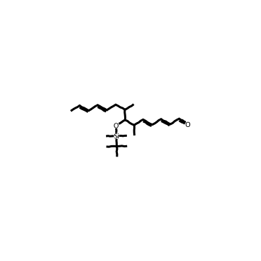 C/C=C/C=C/CC(C)C(O[Si](C)(C)C(C)(C)C)C(C)/C=C/C=C/C=O